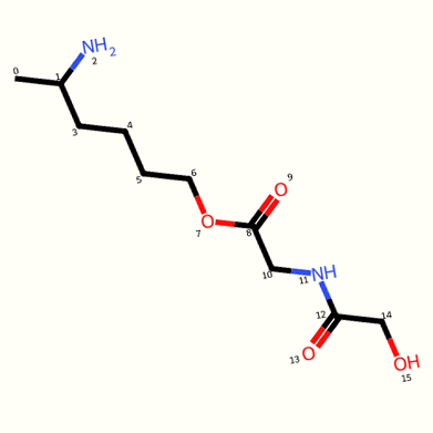 CC(N)CCCCOC(=O)CNC(=O)CO